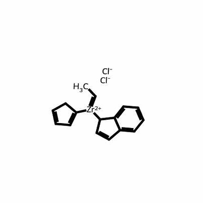 C[CH]=[Zr+2]([C]1=CC=CC1)[CH]1C=Cc2ccccc21.[Cl-].[Cl-]